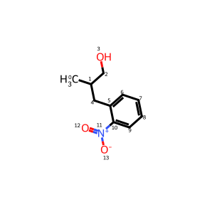 CC(CO)Cc1ccccc1[N+](=O)[O-]